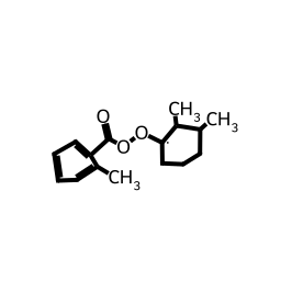 Cc1ccccc1C(=O)OO[C]1CCCC(C)C1C